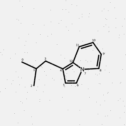 CC(C)Cc1ccn2ccccc12